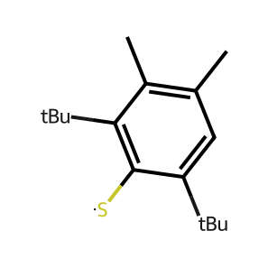 Cc1cc(C(C)(C)C)c([S])c(C(C)(C)C)c1C